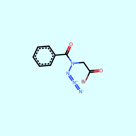 [N-]=[N+]=NN(CC(=O)Br)C(=O)c1ccccc1